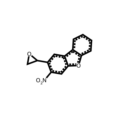 O=[N+]([O-])c1cc2oc3ccccc3c2cc1C1CO1